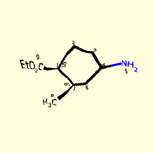 CCOC(=O)[C@H]1CCC(N)C[C@H]1C